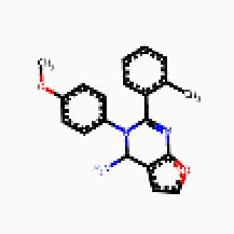 COc1ccc(N2C(c3ccccc3C)=Nc3occc3C2N)cc1